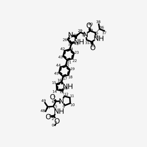 COC(=O)N[C@H](C(=O)N1CCC[C@H]1c1ccc(-c2ccc(-c3ccc(-c4cnc(CN5CC(=O)N[C@@H](C(C)C)C5=O)[nH]4)cc3)cc2)[nH]1)C(C)C